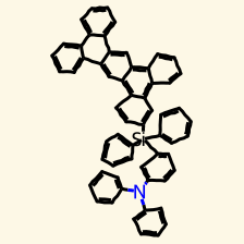 c1ccc(N(c2ccccc2)c2cccc([Si](c3ccccc3)(c3ccccc3)c3ccc4c(c3)c3ccccc3c3cc5c6ccccc6c6ccccc6c5cc43)c2)cc1